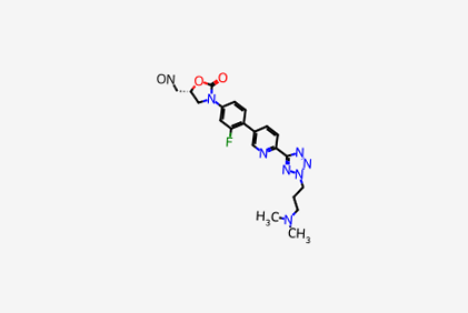 CN(C)CCCn1nnc(-c2ccc(-c3ccc(N4C[C@H](CN=O)OC4=O)cc3F)cn2)n1